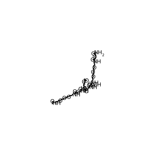 CC(=O)NCCCOCCOCCOCCCNC(=O)COCC(=O)N[C@@H](CSCCOC(C)=O)C(=O)NCC(=O)N[C@H](CO)C(=O)NCCCOCCOCCOCCCNC(=O)COCC(N)=O